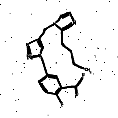 CCCCc1nccn1Cc1cn(-c2ccc(F)c(C(F)F)c2)nn1